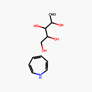 C1=CC=CNC=C1.O=CC(O)C(O)C(O)CO